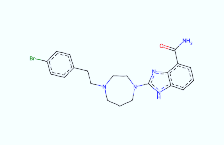 NC(=O)c1cccc2[nH]c(N3CCCN(CCc4ccc(Br)cc4)CC3)nc12